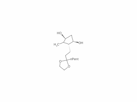 CCCCCC1(CC[C@@H]2C(C)[C@@H](O)C[C@H]2O)OCCO1